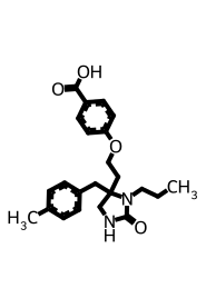 CCCN1C(=O)NCC1(CCOc1ccc(C(=O)O)cc1)Cc1ccc(C)cc1